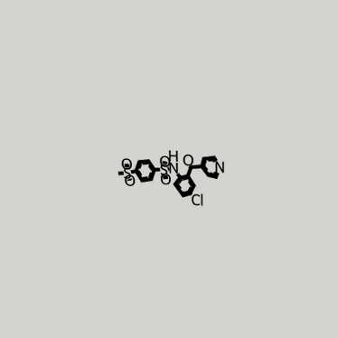 CS(=O)(=O)c1ccc(S(=O)(=O)Nc2ccc(Cl)cc2C(=O)c2ccncc2)cc1